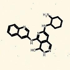 NC1CCCCC1Nc1cc2c(c(Nc3cnc4ccccc4c3)n1)C(O)NN=C2